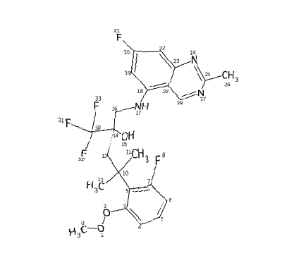 COOc1cccc(F)c1C(C)(C)CC(O)(CNc1cc(F)cc2nc(C)ncc12)C(F)(F)F